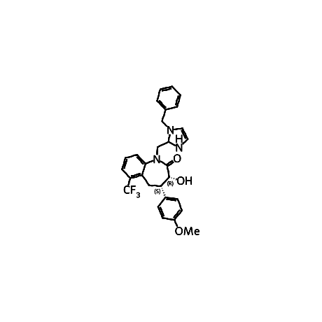 COc1ccc([C@@H]2Cc3c(cccc3C(F)(F)F)N(CC3NC=CN3Cc3ccccc3)C(=O)[C@@H]2O)cc1